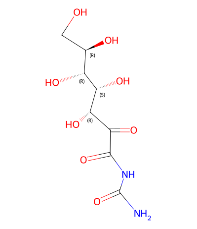 NC(=O)NC(=O)C(=O)[C@H](O)[C@@H](O)[C@H](O)[C@H](O)CO